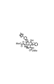 CC[C@H](C)[C@H](NC(=O)OC)C(=O)N[C@@H](Cc1ccccc1)[C@@H](O)CN(Cc1ccc(-c2nnn(C)n2)cc1)NC(=O)[C@@H](NC(=O)OC)C(C)(C)C